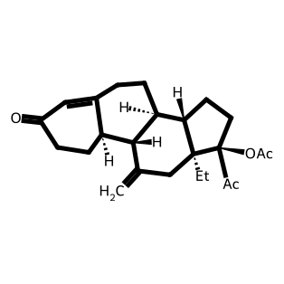 C=C1C[C@@]2(CC)[C@@H](CC[C@]2(OC(C)=O)C(C)=O)[C@@H]2CCC3=CC(=O)CC[C@@H]3[C@@H]12